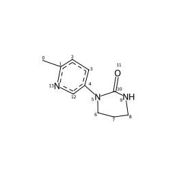 Cc1ccc(N2CCCNC2=O)cn1